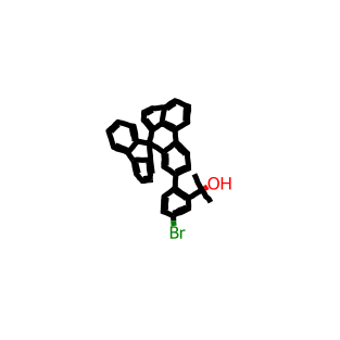 CC(C)(O)c1cc(Br)ccc1-c1ccc2c(c1)C1(c3ccccc3-c3ccccc31)c1cccc3cccc-2c13